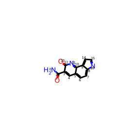 NC(=O)C1=Cc2ccc3c(c2=NC1=O)=CC=N3